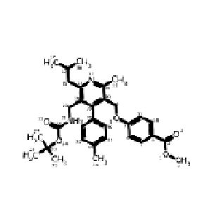 COC(=O)c1ccc(OCc2c(C)nc(CC(C)C)c(CNC(=O)OC(C)(C)C)c2-c2ccc(C)cc2)cc1